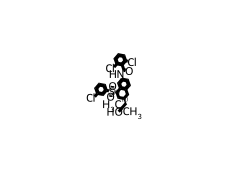 CC(C)(O)C[C@@H]1Cc2ccc(NC(=O)c3c(Cl)cccc3Cl)cc2[C@@H](S(=O)(=O)c2cccc(Cl)c2)C1